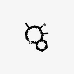 Cc1ccoc2ccccc2c(C)c(Br)c1